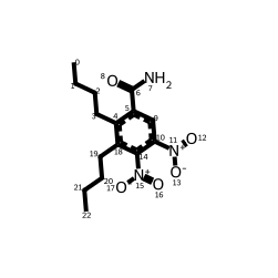 CCCCc1c(C(N)=O)cc([N+](=O)[O-])c([N+](=O)[O-])c1CCCC